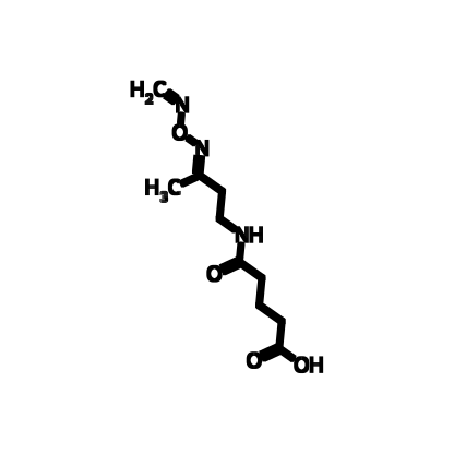 C=NO/N=C(\C)CCNC(=O)CCCC(=O)O